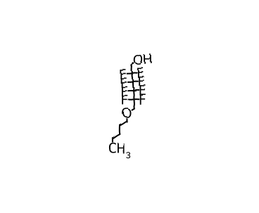 CCCCCOCC(F)(F)C(F)(F)C(F)(F)C(F)(F)CO